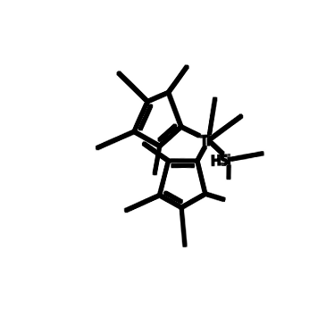 CC1=C(C)C(C)[C]([Ti]([CH3])([CH3])([C]2=C(C)C(C)=C(C)C2C)[SiH](C)C)=C1C